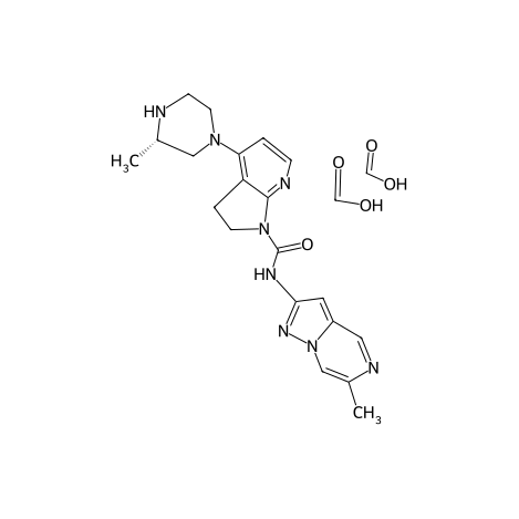 Cc1cn2nc(NC(=O)N3CCc4c(N5CCN[C@@H](C)C5)ccnc43)cc2cn1.O=CO.O=CO